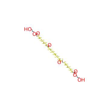 O=C(CSCSCSCSCC[S+]([O-])CSCSCSCSCSC(=O)CSCSCSCSCC(=O)OCCCO)OCCCO